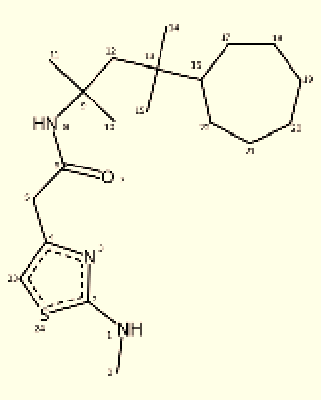 CNc1nc(CC(=O)NC(C)(C)CC(C)(C)C2CCCCCC2)cs1